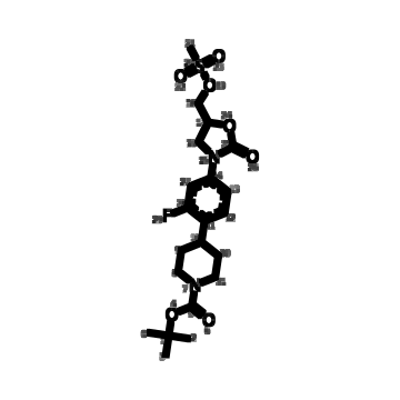 CC(C)(C)OC(=O)N1CCC(c2ccc(N3CC(COS(C)(=O)=O)OC3=O)cc2F)CC1